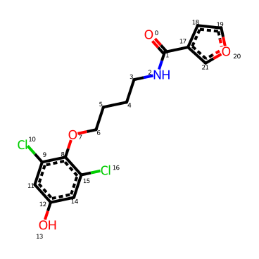 O=C(NCCCCOc1c(Cl)cc(O)cc1Cl)c1ccoc1